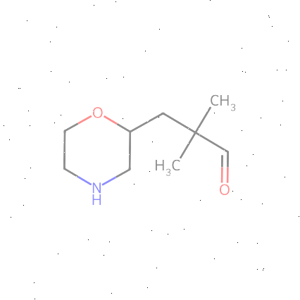 CC(C)(C=O)CC1CNCCO1